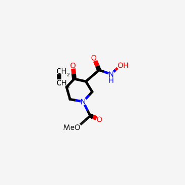 C=C.COC(=O)N1CCC(=O)C(C(=O)NO)C1